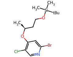 C[C@@H](CCO[Si](C)(C)C(C)(C)C)Oc1cc(Br)ncc1Cl